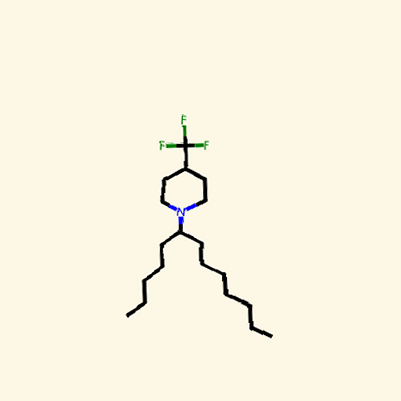 CCCCCCCC(CCCCC)N1CCC(C(F)(F)F)CC1